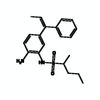 C/C=C(/c1ccccc1)c1ccc(N)c(NS(=O)(=O)C(C)CCC)c1